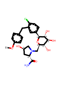 CCOc1ccc(Cc2cc([C@@H]3O[C@H](CN4C[C@H](O)C[C@H]4C(N)=O)[C@@H](O)[C@H](O)[C@H]3O)ccc2Cl)cc1